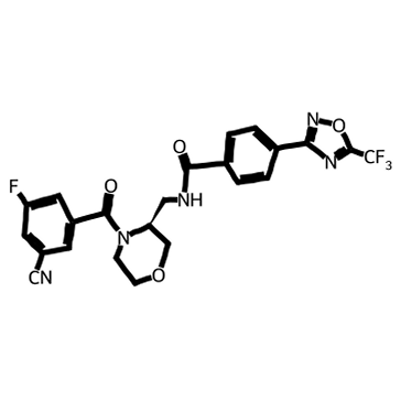 N#Cc1cc(F)cc(C(=O)N2CCOC[C@@H]2CNC(=O)c2ccc(-c3noc(C(F)(F)F)n3)cc2)c1